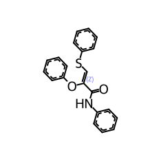 O=C(Nc1ccccc1)/C(=C/Sc1ccccc1)Oc1ccccc1